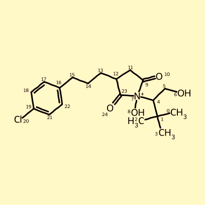 CC(C)(C)C(CO)[N+]1(O)C(=O)CC(CCCc2ccc(Cl)cc2)C1=O